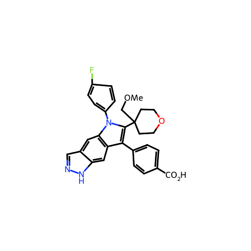 COCC1(c2c(-c3ccc(C(=O)O)cc3)c3cc4[nH]ncc4cc3n2-c2ccc(F)cc2)CCOCC1